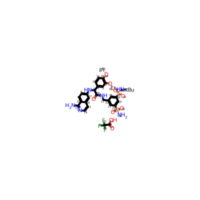 CCOc1cc(C(Nc2ccc3c(N)nccc3c2)C(=O)NCc2cc(S(N)(=O)=O)cc(S(=O)(=O)NC(C)(C)C)c2)ccc1OC(C)C.O=C(O)C(F)(F)F